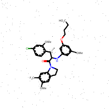 COc1cc(NC(C(=O)N2CCc3cc(OC)c(C(F)(F)F)cc32)[C@@H](C)c2ccc(Cl)cc2OC)cc(OCCCC(=O)O)c1